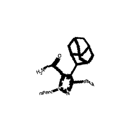 CCCCCn1nc(C(C)(C)C)c(C2C3CC4CC(C3)CC2C4)c1C(N)=O